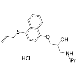 C=CCSc1ccc(OCC(O)CNC(C)C)c2ccccc12.Cl